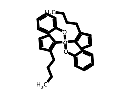 CCCCC1=[C]([Zr]([O]c2ccccc2)([O]c2ccccc2)[C]2=C(CCCC)C=CC2)CC=C1